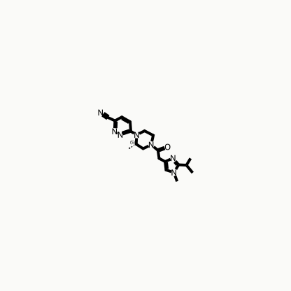 CC(C)c1nc(CC(=O)N2CCN(c3ccc(C#N)nn3)[C@@H](C)C2)cn1C